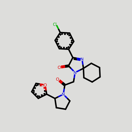 O=C(CN1C(=O)C(c2ccc(Cl)cc2)=NC12CCCCC2)N1CCCC1c1ccco1